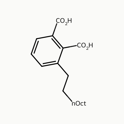 CCCCCCCCCCc1cccc(C(=O)O)c1C(=O)O